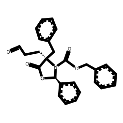 O=CCC[C@@]1(Cc2ccccc2)C(=O)O[C@H](c2ccccc2)N1C(=O)OCc1ccccc1